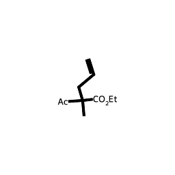 C=CCC(C)(C(C)=O)C(=O)OCC